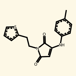 Cc1ccc(NC2=CC(=O)N(CCc3cccs3)C2=O)cc1